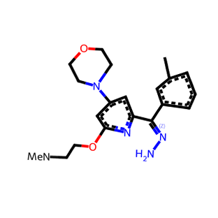 CNCCOc1cc(N2CCOCC2)cc(/C(=N\N)c2cccc(C)c2)n1